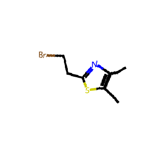 Cc1nc(CCBr)sc1C